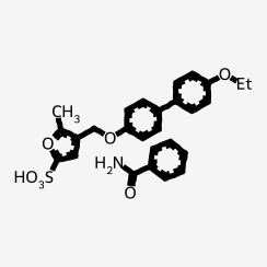 CCOc1ccc(-c2ccc(OCc3cc(S(=O)(=O)O)oc3C)cc2)cc1.NC(=O)c1ccccc1